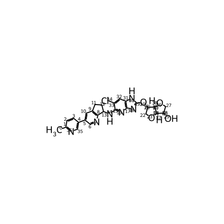 Cc1ccc(-c2cnc3c(c2)CCC3Nc2nc3nc(O[C@@H]4CO[C@H]5[C@@H]4OC[C@H]5O)[nH]c3cc2Cl)cn1